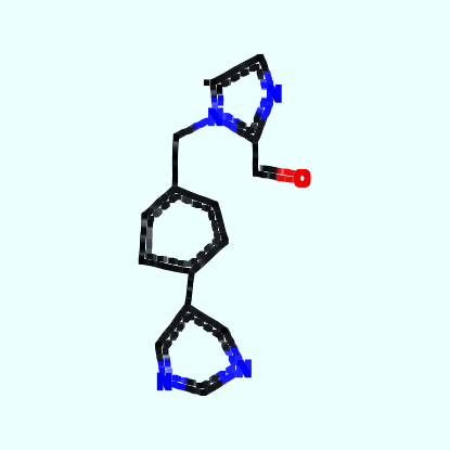 O=Cc1nc[c]n1Cc1ccc(-c2cncnc2)cc1